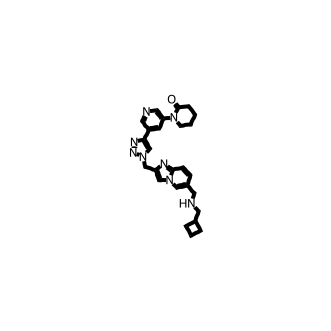 O=C1CCCCN1c1cncc(-c2cn(Cc3cn4cc(CNCC5CCC5)ccc4n3)nn2)c1